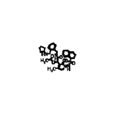 CC(=O)OC(C(=O)NCc1ccccc1CNC1CCCC1)C1=C(C)CCN(NS(=O)(=O)c2cccc3ccccc23)C1=O